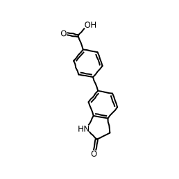 O=C1Cc2ccc(-c3ccc(C(=O)O)cc3)cc2N1